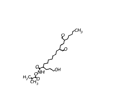 C=C(C)C(=O)ONC(=O)C(CCCO)CCCCCCCC(C=O)CCC(C=O)CCCCC